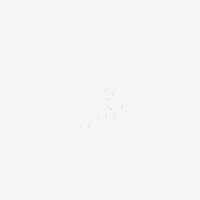 Cc1ccc(-c2cc3c(cc(C(=O)O)n3-c3ccc(OC4CCCC4)cc3)s2)s1